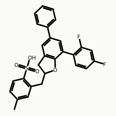 Cc1ccc(S(=O)(=O)O)c(CC2Cc3cc(-c4ccccc4)cc(-c4ccc(F)cc4F)c3O2)c1